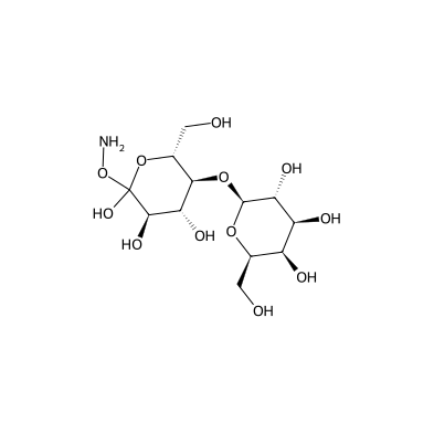 NOC1(O)O[C@H](CO)[C@@H](O[C@@H]2O[C@H](CO)[C@H](O)[C@H](O)[C@H]2O)[C@H](O)[C@H]1O